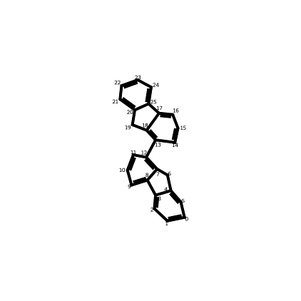 c1ccc2c(c1)Cc1c-2cccc1-c1cccc2c1Cc1ccccc1-2